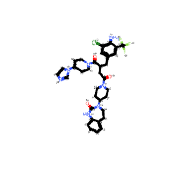 Nc1c(Cl)cc(CC(CC(=O)N2CCC(N3CCc4ccccc4NC3=O)CC2)C(=O)N2CCC(n3ccnc3)CC2)cc1C(F)(F)F